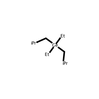 C[CH2][Ge]([CH2]C)([CH2]C(C)C)[CH2]C(C)C